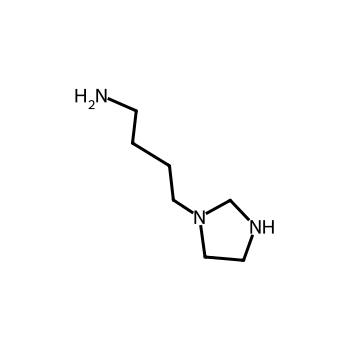 NCCCCN1CCNC1